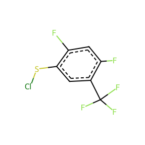 Fc1cc(F)c(C(F)(F)F)cc1SCl